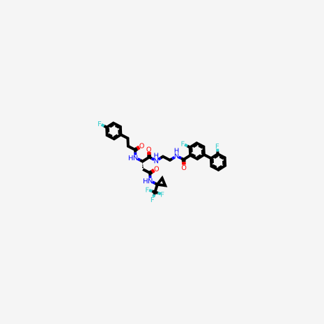 O=C(CCc1ccc(F)cc1)N[C@@H](CC(=O)NC1(C(F)(F)F)CC1)C(=O)NCCNC(=O)c1cc(-c2ccccc2F)ccc1F